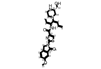 C=C/C=C(\C(=C/C)NC(=O)c1csc(N2Cc3ccc(OC)cc3C2=O)n1)N1CCN[C@H](CO)C1